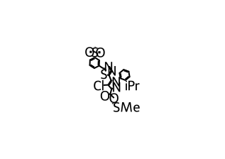 CSCOC(=O)c1nn(-c2ccccc2C(C)C)c(-c2nnc(-c3cccc(S(C)(=O)=O)c3)s2)c1Cl